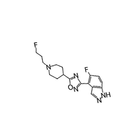 FCCCN1CCC(c2nc(-c3c(F)ccc4[nH]ncc34)no2)CC1